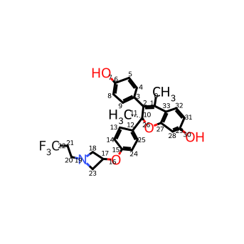 CC1=C(c2ccc(O)cc2)[C@](C)(c2ccc(OC3CN(CCC(F)(F)F)C3)cc2)Oc2cc(O)ccc21